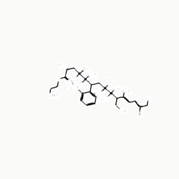 CC[C@H](CC(C)(CC)C(C)(C)C(CC(C)(C)C(C)(C)C(CC(C)(C)C)/C(C)=C/C=C(/CCl)C(C)C)c1ccccc1C)C(=O)OCCOC